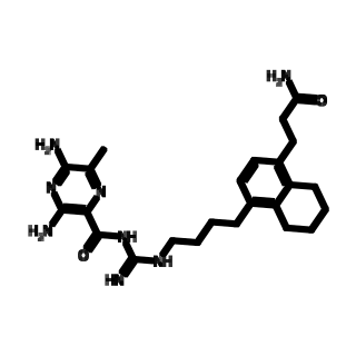 Cc1nc(C(=O)NC(=N)NCCCCc2ccc(CCC(N)=O)c3c2CCCC3)c(N)nc1N